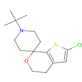 CC(C)(C)N1CCC2(CC1)OCCc1cc(Cl)sc12